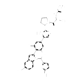 COC(=O)N[C@H](C(=O)N1CCC[C@H]1c1ncc(-c2cc(F)c3c(c2)OC(c2ccc(C(F)(F)F)s2)n2c-3cc3cc(Cl)ccc32)[nH]1)C(C)C